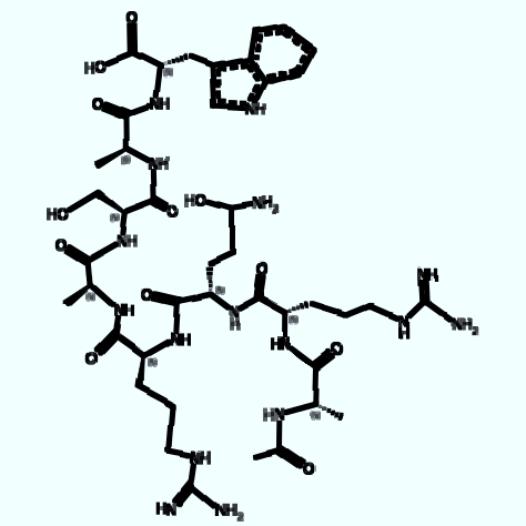 CC(=O)N[C@@H](C)C(=O)N[C@@H](CCCNC(=N)N)C(=O)N[C@@H](CCC(N)O)C(=O)N[C@@H](CCCNC(=N)N)C(=O)N[C@@H](C)C(=O)N[C@@H](CO)C(=O)N[C@@H](C)C(=O)N[C@@H](Cc1c[nH]c2ccccc12)C(=O)O